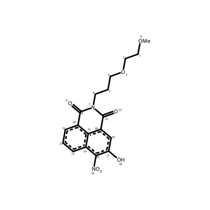 COCCOCCCN1C(=O)c2cccc3c([N+](=O)[O-])c(O)cc(c23)C1=O